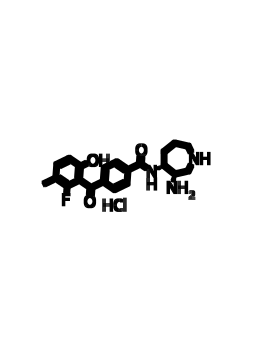 Cc1ccc(O)c(C(=O)c2ccc(C(=O)N[C@@H]3CCCNC[C@H]3N)cc2)c1F.Cl